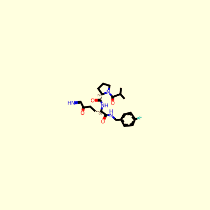 CC(C)C(=O)N1CCC[C@H]1C(=O)N[C@@H](CCC(=O)C=N)C(=O)NCc1ccc(F)cc1